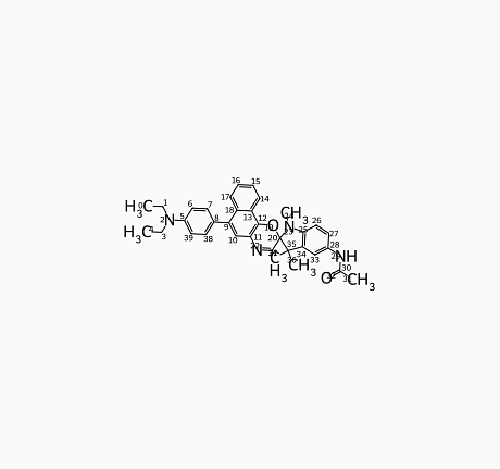 CCN(CC)c1ccc(-c2cc3c(c4ccccc24)OC2(C=N3)N(C)c3ccc(NC(C)=O)cc3C2(C)C)cc1